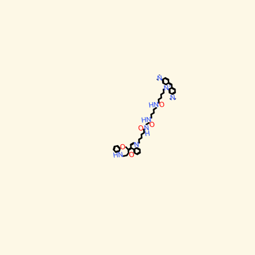 CN(C)c1ccc2cc3ccc(N(C)C)cc3[n+](CCCCCC(=O)NCCCCCNC(=O)CNC(=O)CCCCCN3C=CC4=C5COc6ccccc6NCCC5Oc5cccc3c54)c2c1